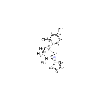 CCN(C)/C(=N\[C@H](C)c1ccc(F)cc1Cl)c1nccs1